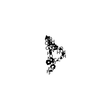 C=CC(C)C(C)(NC(=O)[C@@H]1C[C@@H]2CN1C(=O)[C@H](C(C)(C)C)NC(=O)O[C@@H]1C[C@H]1CCCCCc1c(nc3ccccc3c1OC1CCN(CC(F)(F)F)CC1)O2)C(=O)NS(=O)(=O)C1(C)CC1